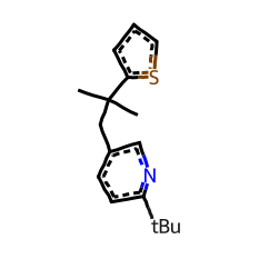 CC(C)(C)c1ccc(CC(C)(C)c2cccs2)cn1